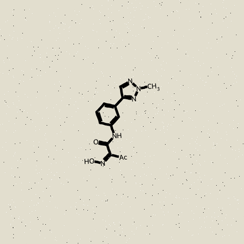 CC(=O)/C(=N/O)C(=O)Nc1cccc(-c2cnn(C)n2)c1